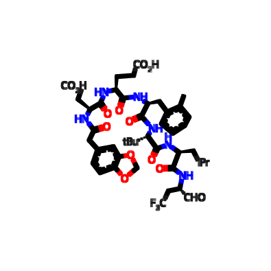 Cc1ccccc1C[C@H](NC(=O)[C@H](CCC(=O)O)NC(=O)[C@H](CC(=O)O)NC(=O)Cc1ccc2c(c1)OCO2)C(=O)N[C@H](C(=O)N[C@@H](CC(C)C)C(=O)N[C@H](C=O)CC(F)(F)F)C(C)(C)C